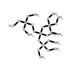 [SiH3]O[Si](O[SiH3])(O[SiH3])OO[Si](O[SiH3])(O[Si](O[SiH3])(O[SiH3])O[SiH3])O[Si](O[SiH3])(O[SiH3])O[SiH3]